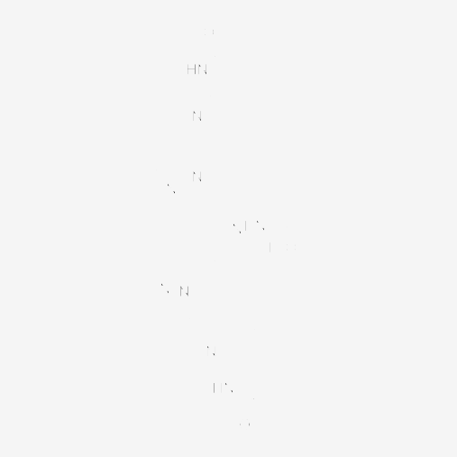 Cn1ccc(-c2nc3[nH]c(=O)ccc3cc2-c2cc(F)c3ncc(Cn4ccc(-c5nc6[nH]c(=O)ccc6cc5-c5ccc6[nH]c(=O)ccc6c5)n4)cc3c2)n1